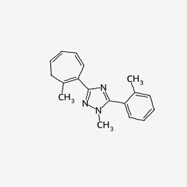 CC1=C(c2nc(-c3ccccc3C)n(C)n2)C=CC=CC1